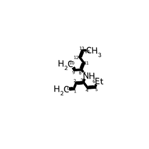 C=C/C=C(\C=C/CC)N/C(C=C)=C/C=C\C